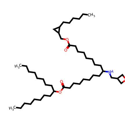 CCCCCCCCC(CCCCCCCC)OC(=O)CCCCCCCC(CCCCCCCC(=O)OCC1CC1CCCCCC)NCC1COC1